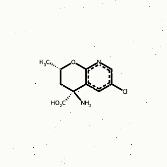 C[C@H]1C[C@@](N)(C(=O)O)c2cc(Cl)cnc2O1